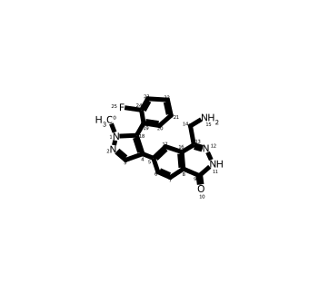 Cn1ncc(-c2ccc3c(=O)[nH]nc(CN)c3c2)c1-c1ccccc1F